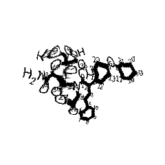 CC(C(CCc1ccccc1)c1ccc(Oc2ccccc2)cc1)N(CC(=O)O)C(=O)C1OC(C(=O)O)(C(=O)O)OC1C(N)=O